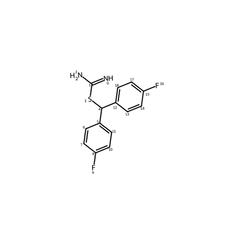 N=C(N)SC(c1ccc(F)cc1)c1ccc(F)cc1